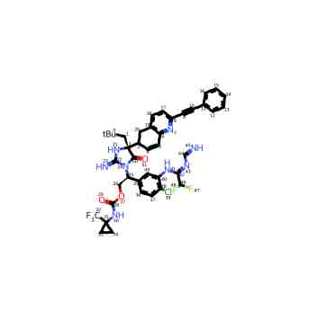 CC(C)(C)C[C@]1(C2C=Cc3nc(C#Cc4ccccc4)ccc3C2)NC(=N)N([C@H](COC(=O)NC2(C(F)(F)F)CC2)c2ccc(Cl)c(N/C(=N\C=N)C(F)F)c2)C1=O